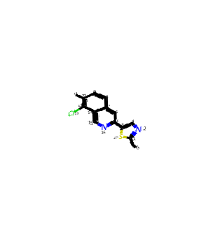 Cc1ncc(-c2cc3ccc(C)c(Cl)c3cn2)s1